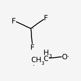 C[O].F[C](F)F.[CH3]